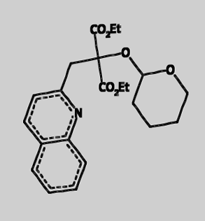 CCOC(=O)C(Cc1ccc2ccccc2n1)(OC1CCCCO1)C(=O)OCC